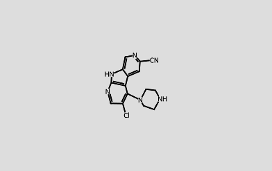 N#Cc1cc2c(cn1)[nH]c1ncc(Cl)c(N3CCNCC3)c12